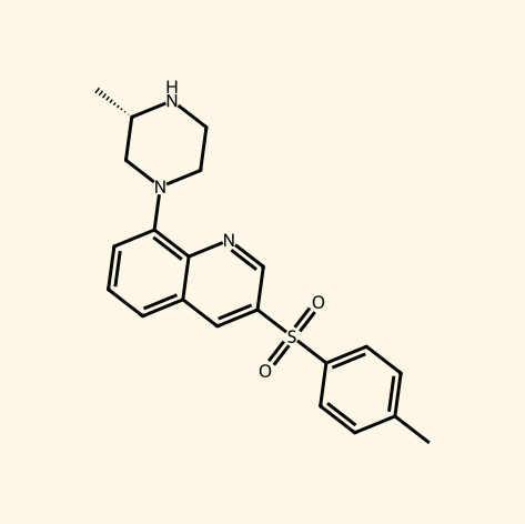 Cc1ccc(S(=O)(=O)c2cnc3c(N4CCN[C@@H](C)C4)cccc3c2)cc1